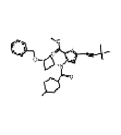 COC(=O)c1sc(C#CC(C)(C)C)cc1N(C(=O)C1CCC(C)CC1)[C@H]1C[C@H](OCc2ccccc2)C1